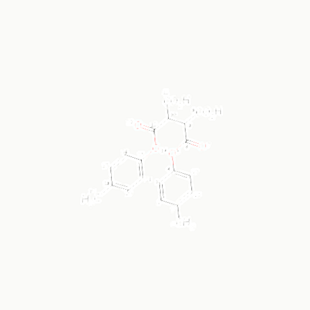 Cc1ccc(OC(=O)C(C(=O)O)C(C(=O)O)C(=O)Oc2ccc(C)cc2)cc1